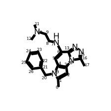 Cc1cc2c(cc(NCCN(C)C)c3nnc(C)n32)n1Cc1ccccc1